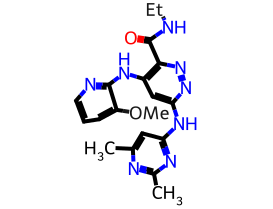 CCNC(=O)c1nnc(Nc2cc(C)nc(C)n2)cc1Nc1ncccc1OC